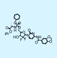 CC(C)OC(=O)[C@H](C)N[P@](=O)(OC[C@H]1O[C@@H](n2ccc(NC(=O)c3ccc4c(c3)OCO4)nc2=O)C(F)(F)C1O)Oc1ccccc1